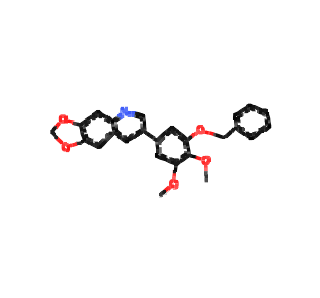 COc1cc(-c2cnc3cc4c(cc3c2)OCO4)cc(OCc2ccccc2)c1OC